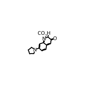 O=C(O)C1N=c2cc(N3CCCC3)ccc2=CC1=O